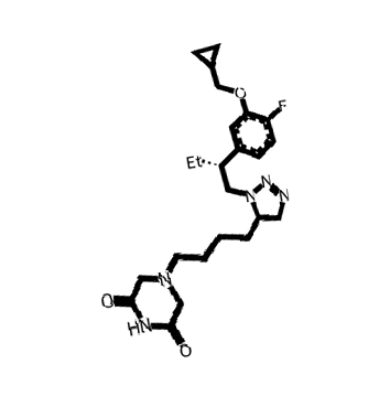 CC[C@@H](CN1N=NCC1CCCCN1CC(=O)NC(=O)C1)c1ccc(F)c(OCC2CC2)c1